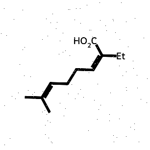 CCC(=CCCC=C(C)C)C(=O)O